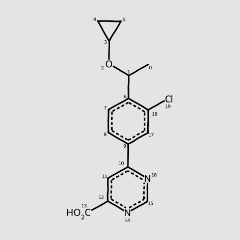 CC(OC1CC1)c1ccc(-c2cc(C(=O)O)ncn2)cc1Cl